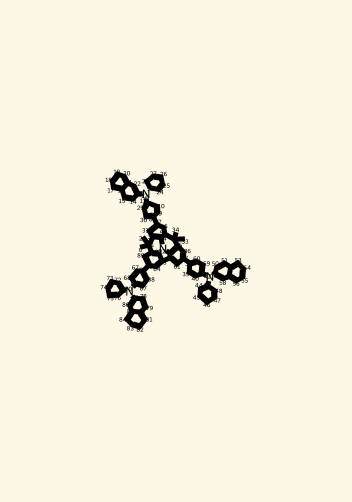 CC1(C)C2=C3C(CC(c4ccc(N(c5ccc6ccccc6c5)C5C=CC=CC5)cc4)=C2)C(C)(C)c2cc(-c4ccc(N(c5ccccc5)c5ccc6ccccc6c5)cc4)cc4c5cc(-c6ccc(N(c7ccccc7)c7ccc8ccccc8c7)cc6)cc1c5n3c24